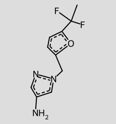 CC(F)(F)c1ccc(Cn2cc(N)cn2)o1